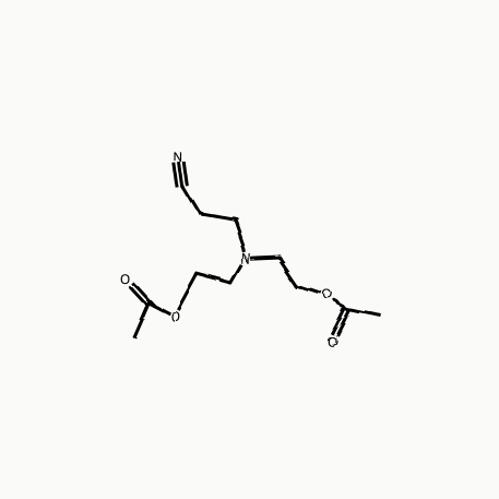 CC(=O)OCCN(CCC#N)CCOC(C)=O